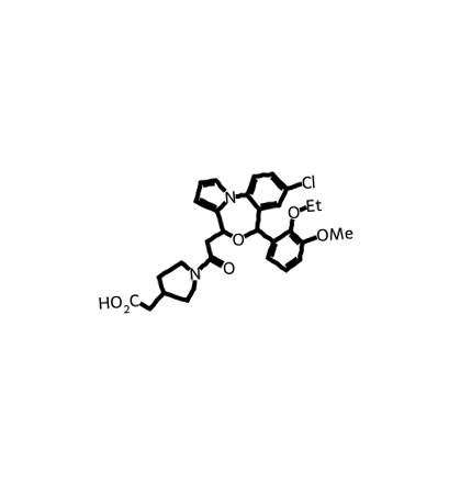 CCOc1c(OC)cccc1C1OC(CC(=O)N2CCC(CC(=O)O)CC2)c2cccn2-c2ccc(Cl)cc21